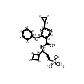 CS(=O)(=O)/C=C/C(NC(=O)c1cnc(C2CC2)nc1Oc1ccccc1)C1CCC1